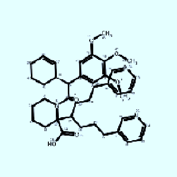 COc1cc(C(C(=O)N2CCCCC2(C(=O)O)C(CCCc2cccnc2)CCCc2cccnc2)[C@@H]2C=CCCC2)cc(OC)c1OC